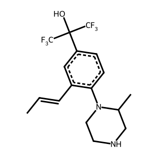 CC=Cc1cc(C(O)(C(F)(F)F)C(F)(F)F)ccc1N1CCNCC1C